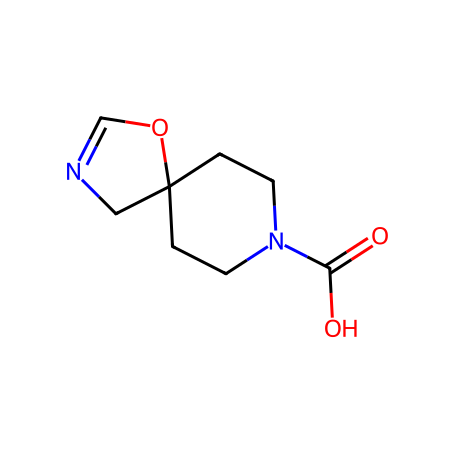 O=C(O)N1CCC2(CC1)CN=CO2